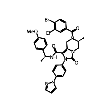 COc1ccc([C@H](C)NC(=O)c2c3n(c(=O)n2-c2ccc(-n4cccn4)cc2)C[C@H](C)N(C(=O)c2ccc(Br)c(Cl)c2)C3)cc1